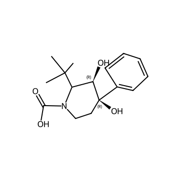 CC(C)(C)C1[C@@H](O)[C@](O)(c2ccccc2)CCN1C(=O)O